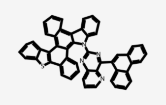 c1ccc2c(c1)cc(-c1nc(-n3c4ccccc4c4c5ccccc5c5c6c7ccccc7sc6c6ccccc6c5c43)nc3cccnc13)c1ccccc12